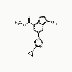 COC(=O)c1cc(-n2cnc(C3CC3)c2)cc2c1ccn2C